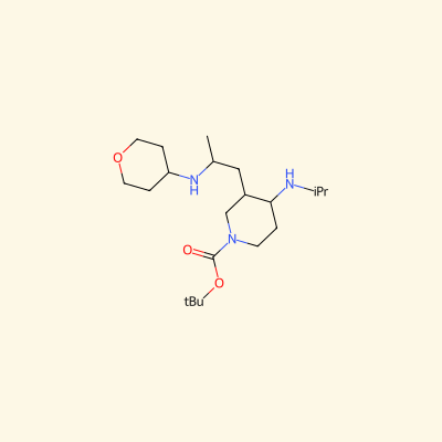 CC(C)NC1CCN(C(=O)OC(C)(C)C)CC1CC(C)NC1CCOCC1